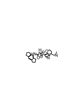 CN(C)CC1CCOc2c(S(=O)(=O)NC(=O)Nc3c4c(cc5c3CCC5)CCC4)cnn21